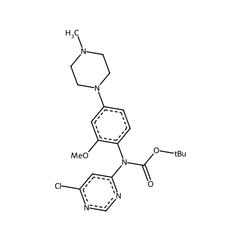 COc1cc(N2CCN(C)CC2)ccc1N(C(=O)OC(C)(C)C)c1cc(Cl)ncn1